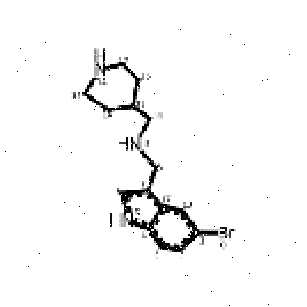 Brc1ccc2[nH]cc(CNCC3CCNCC3)c2c1